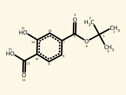 CC(C)(C)OC(=O)c1ccc(C(=O)O)c(O)c1